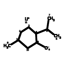 CC1CCC(C(C)C)C([O-])C1.[Li+]